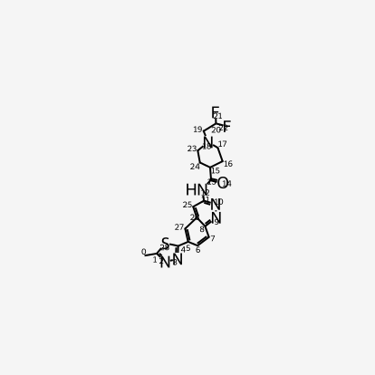 Cc1nnc(-c2ccc3nnc(NC(=O)C4CCN(CC(F)F)CC4)cc3c2)s1